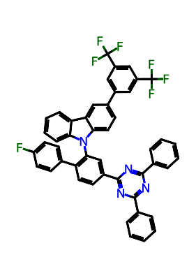 Fc1ccc(-c2ccc(-c3nc(-c4ccccc4)nc(-c4ccccc4)n3)cc2-n2c3ccccc3c3cc(-c4cc(C(F)(F)F)cc(C(F)(F)F)c4)ccc32)cc1